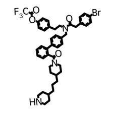 O=C(Cc1ccc(Br)cc1)N(CCc1ccc(OC(=O)C(F)(F)F)cc1)Cc1ccc(-c2ccccc2C(=O)N2CCC(CCCC3CCNCC3)CC2)cc1